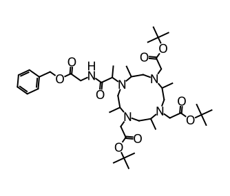 CC1CN(CC(=O)OC(C)(C)C)C(C)CN(C(C)C(=O)NCC(=O)OCc2ccccc2)C(C)CN(CC(=O)OC(C)(C)C)C(C)CN1CC(=O)OC(C)(C)C